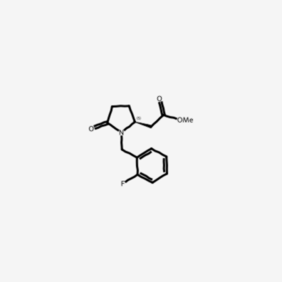 COC(=O)C[C@@H]1CCC(=O)N1Cc1ccccc1F